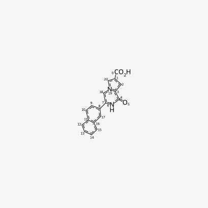 O=C(O)c1cc2c(=O)[nH]c(-c3ccc4ccccc4c3)cn2c1